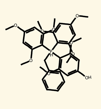 COc1cc(OC)c([PH](Cc2ccccc2)(c2c(OC)cc(O)cc2OC)c2c(OC)cc(OC)cc2OC)c(OC)c1